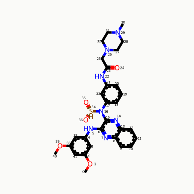 COc1cc(Nc2nc3ccccc3nc2N(c2cccc(NC(=O)CN3CCN(C)CC3)c2)[SH](=O)=O)cc(OC)c1